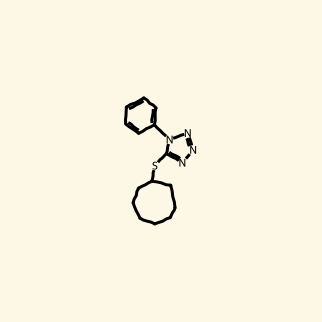 c1ccc(-n2nnnc2SC2CCCCCCC2)cc1